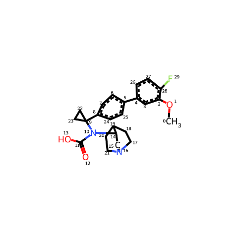 COc1cc(-c2ccc(C3(N(C(=O)O)C4CN5CCC4CC5)CC3)cc2)ccc1F